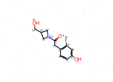 O=C(Cc1ccc(O)cc1F)N1CC(CO)C1